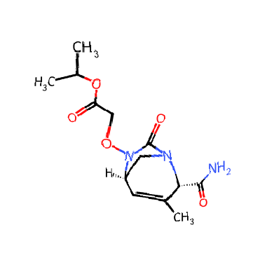 CC1=C[C@@H]2CN(C(=O)N2OCC(=O)OC(C)C)[C@@H]1C(N)=O